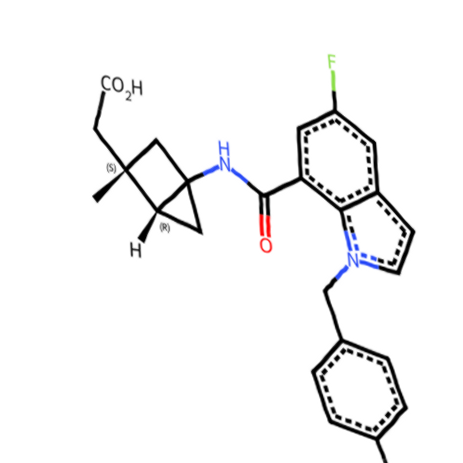 C[C@@]1(CC(=O)O)CC2(NC(=O)c3cc(F)cc4ccn(Cc5ccc(C(F)(F)F)cc5)c34)C[C@@H]21